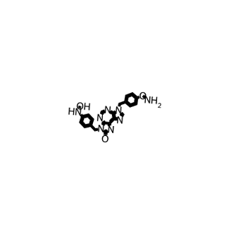 NOc1ccc(Cn2cnc3c4nc(=O)n(Cc5ccc(NO)cc5)c-4ncnc32)cc1